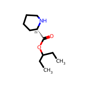 CCC(CC)OC(=O)[C@@H]1CCCCN1